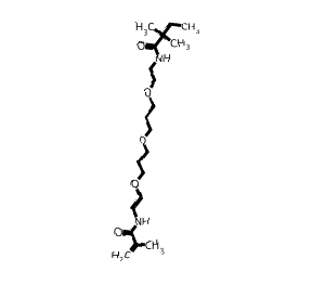 C=C(C)C(=O)NCCOCCCOCCCOCCNC(=O)C(C)(C)CC